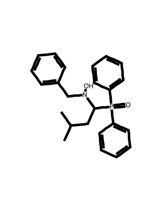 CC(C)CC(N(O)Cc1ccccc1)P(=O)(c1ccccc1)c1ccccc1